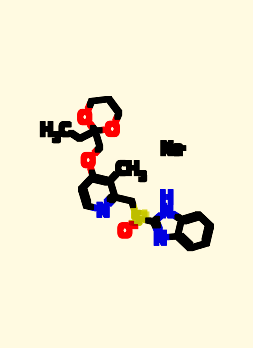 CCC1(COc2ccnc(C[S+]([O-])c3nc4ccccc4[nH]3)c2C)OCCCO1.[Na]